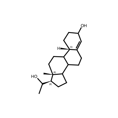 CC(O)[C@@H]1CCC2C3CCC4=CC(O)CC[C@H]4C3CC[C@]21C